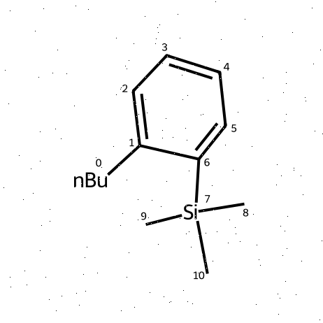 CCCCc1ccccc1[Si](C)(C)C